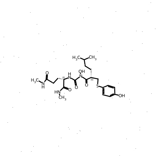 CNC(=O)CC[C@H](NC(=O)N(O)C(=O)[C@H](CCC(C)C)CSc1ccc(O)cc1)C(=O)NC